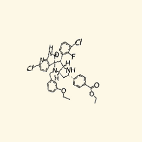 CCOC(=O)c1ccc([C@@H]2C[C@H]3[C@@H](N2)[C@H](c2cccc(Cl)c2F)[C@]2(C(=O)Nc4nc(Cl)ccc42)N3Cc2cccc(OCC)c2)cc1